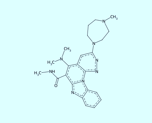 CNC(=O)c1c(N(C)C)c2cc(N3CCCN(C)CC3)nnc2n2c1nc1ccccc12